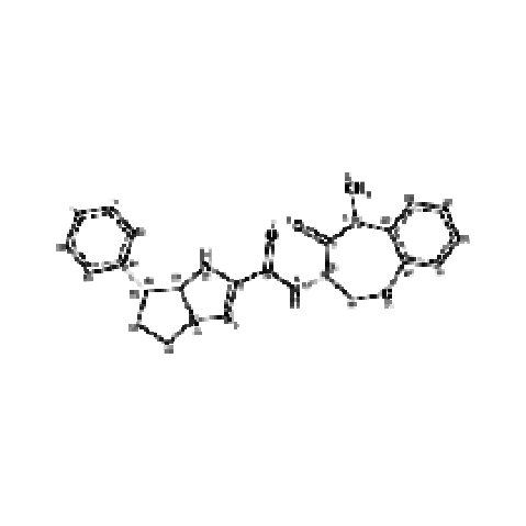 CN1C(=O)[C@@H](NC(=O)C2=NN3CC[C@H](c4ccccc4)C3N2)COc2ccccc21